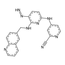 N#Cc1cc(Nc2ccc(N=N)c(NCc3ccc4ncccc4c3)n2)ccn1